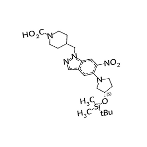 CC(C)(C)[Si](C)(C)O[C@H]1CCN(c2cc3cnn(CC4CCN(C(=O)O)CC4)c3cc2[N+](=O)[O-])C1